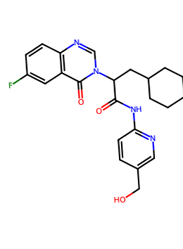 O=C(Nc1ccc(CO)cn1)C(CC1CCCCC1)n1cnc2ccc(F)cc2c1=O